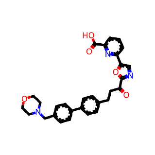 O=C(O)c1cccc(-c2cnc(C(=O)CCc3ccc(-c4ccc(CN5CCOCC5)cc4)cc3)o2)n1